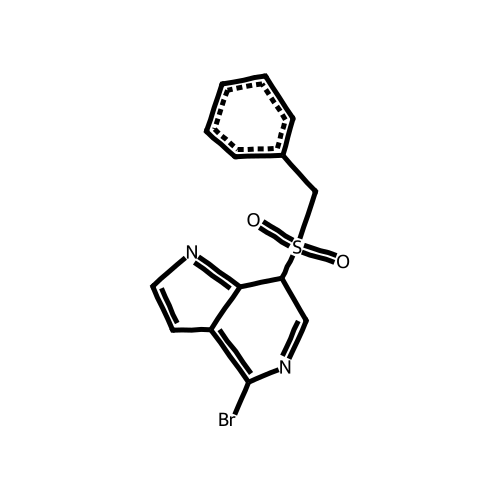 O=S(=O)(Cc1ccccc1)C1C=NC(Br)=C2C=CN=C21